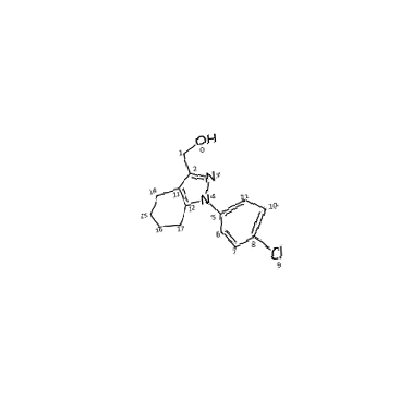 OCc1nn(-c2ccc(Cl)cc2)c2c1CCCC2